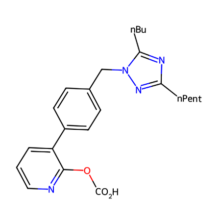 CCCCCc1nc(CCCC)n(Cc2ccc(-c3cccnc3OC(=O)O)cc2)n1